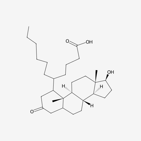 CCCCCCC(CCCC(=O)O)C1CC(=O)CC2CC[C@@H]3[C@H](CC[C@]4(C)[C@@H](O)CC[C@@H]34)[C@]21C